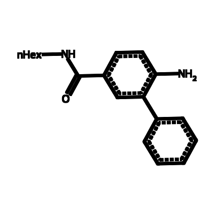 CCCCCCNC(=O)c1ccc(N)c(-c2ccccc2)c1